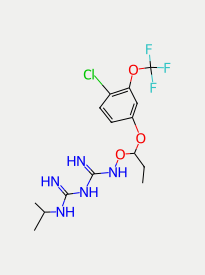 CCC(ONC(=N)NC(=N)NC(C)C)Oc1ccc(Cl)c(OC(F)(F)F)c1